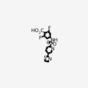 O=C(O)c1c(F)cc(NS(=O)(=O)c2ccc(-c3nccs3)cn2)cc1F